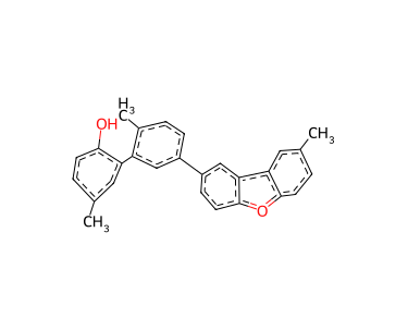 Cc1ccc(O)c(-c2cc(-c3ccc4oc5ccc(C)cc5c4c3)ccc2C)c1